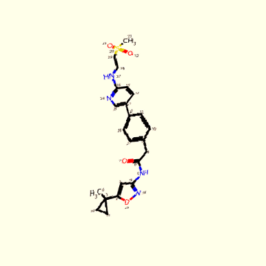 CC1(c2cc(NC(=O)Cc3ccc(-c4ccc(NCCS(C)(=O)=O)nc4)cc3)no2)CC1